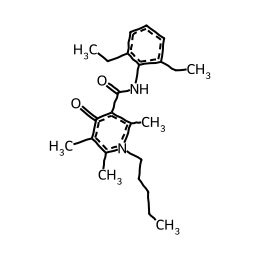 CCCCCn1c(C)c(C)c(=O)c(C(=O)Nc2c(CC)cccc2CC)c1C